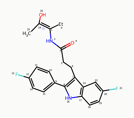 CC/C(NC(=O)CCc1c(-c2ccc(F)cc2)[nH]c2ccc(F)cc12)=C(/C)O